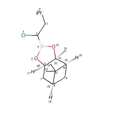 CC(C)CC(Cl)B1O[C@@H]2C[C@@H]3C[C@@H](C3(C)C)[C@]2(C)O1